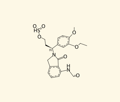 CCOc1cc([C@H](CCO[SH](=O)=O)N2Cc3cccc(NC=O)c3C2=O)ccc1OC